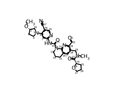 CO[C@H]1CCN(c2cc(NC(=O)N3CCCc4cc(CN(C)C(=O)[C@H]5CCCO5)c(C=O)nc43)ncc2C#N)C1